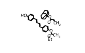 C=CC(=O)OC12CC3CC(CC(C3)C1)C2.CCOC(C)Oc1ccc(C=CC=Cc2ccc(O)cc2)cc1